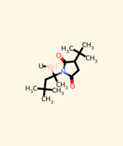 CC(C)(C)CC(C)([BH][U])N1C(=O)CC(C(C)(C)C)C1=O